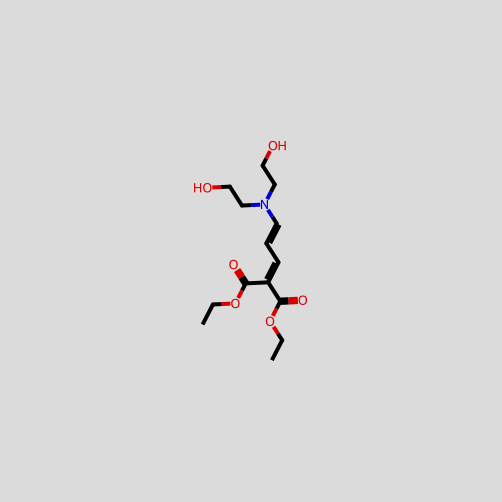 CCOC(=O)C(=C/C=C/N(CCO)CCO)C(=O)OCC